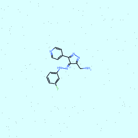 NCC1=NN=C(c2ccncc2)/C1=N\Nc1cccc(F)c1